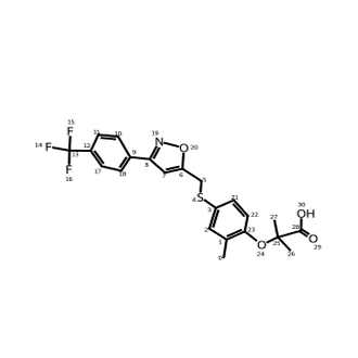 Cc1cc(SCc2cc(-c3ccc(C(F)(F)F)cc3)no2)ccc1OC(C)(C)C(=O)O